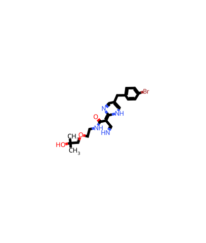 CC(C)(O)COCCNC(=O)/C(C=N)=C1\N=CC(Cc2ccc(Br)cc2)=CN1